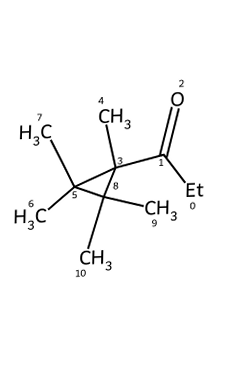 CCC(=O)C1(C)C(C)(C)C1(C)C